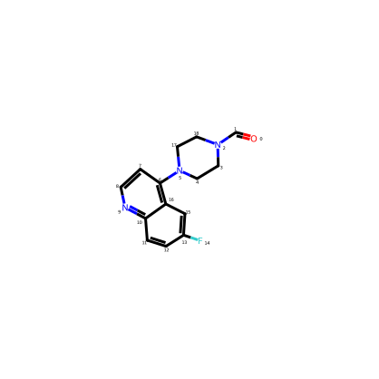 O=CN1CCN(c2ccnc3ccc(F)cc23)CC1